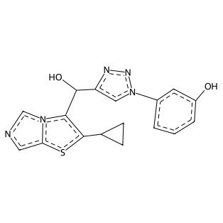 Oc1cccc(-n2cc(C(O)c3c(C4CC4)sc4cncn34)nn2)c1